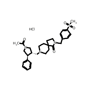 CC(=O)N1C[C@H](CN2CCC3(CC2)CCN(Cc2ccc(S(C)(=O)=O)cc2)C3=O)[C@@H](c2ccccc2)C1.Cl